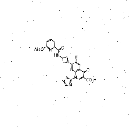 COc1cccc(C(=O)NC2CN(c3nc4c(cc3F)c(=O)c(C(=O)O)cn4-c3nccs3)C2)n1